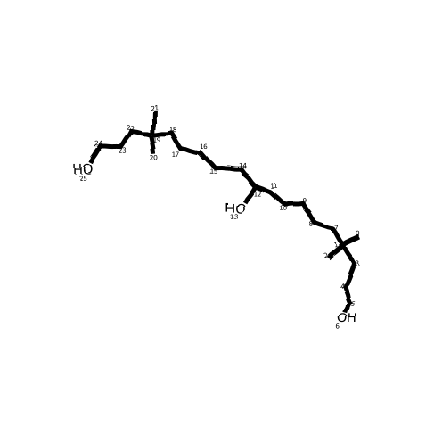 CC(C)(CCCO)CCCCCC(O)CCCCCC(C)(C)CCCO